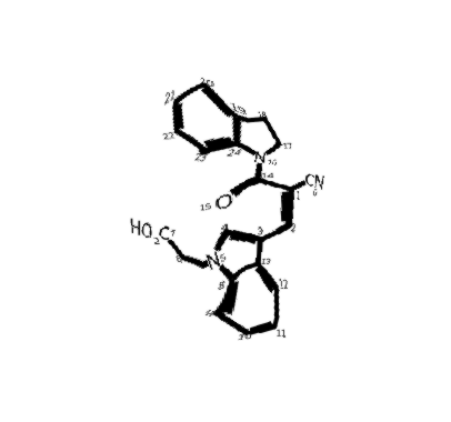 N#CC(=Cc1cn(CC(=O)O)c2ccccc12)C(=O)N1CCc2ccccc21